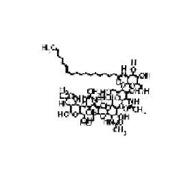 CCCCCC/C=C\CCCCCCCCCC(=O)NC1C(OC(CCO)/C(O)=C(/NC(C)=O)C(O)OC2C(CO)OC(OC(CCO)/C(O)=C(/NC(C)=O)C(O)OC3C(CO)OC(O)C(NC(C)=O)C3O)C(NC(C)=O)C2O)OC(CO)C(O)C1O